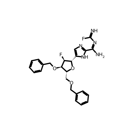 N=C(F)/N=C(/N)c1ncc([C@@H]2O[C@H](COCc3ccccc3)[C@@H](OCc3ccccc3)[C@H]2F)[nH]1